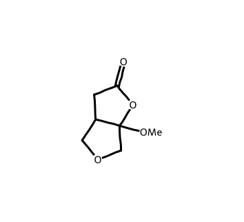 COC12COCC1CC(=O)O2